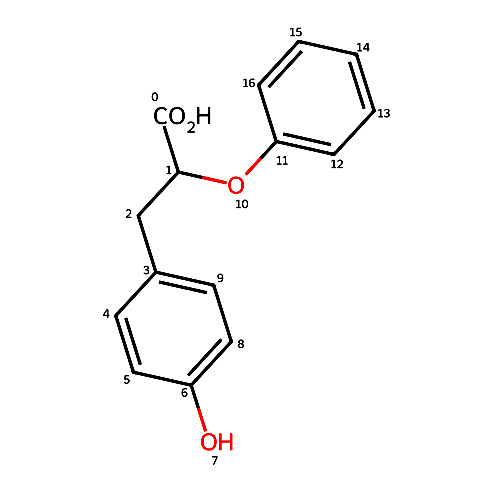 O=C(O)C(Cc1ccc(O)cc1)Oc1ccccc1